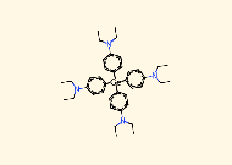 CCN(CC)c1cc[c]([Ge]([c]2ccc(N(CC)CC)cc2)([c]2ccc(N(CC)CC)cc2)[c]2ccc(N(CC)CC)cc2)cc1